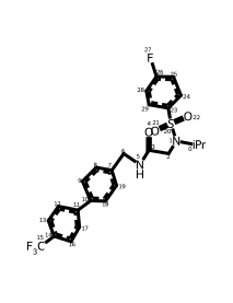 CC(C)N(CC(=O)NCc1ccc(-c2ccc(C(F)(F)F)cc2)cc1)S(=O)(=O)c1ccc(F)cc1